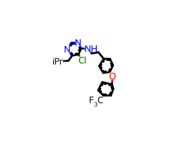 CC(C)Cc1ncnc(NCCc2ccc(Oc3ccc(C(F)(F)F)cc3)cc2)c1Cl